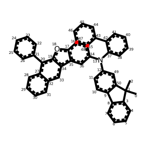 CC1(C)c2ccccc2-c2ccc(N(c3ccc4oc5c(-c6ccccc6)c6ccccc6cc5c4c3)c3ccccc3-c3ccccc3)cc21